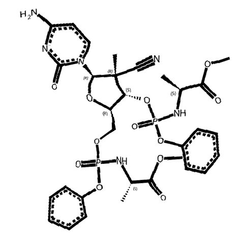 COC(=O)[C@H](C)NP(=O)(OC[C@H]1O[C@@H](n2ccc(N)nc2=O)[C@](C)(C#N)[C@@H]1OP(=O)(N[C@@H](C)C(=O)OC)Oc1ccccc1)Oc1ccccc1